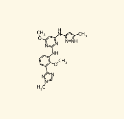 COc1cc(Nc2cc(C)[nH]n2)nc(Nc2cccc(-c3ncn(C)n3)c2OC)n1